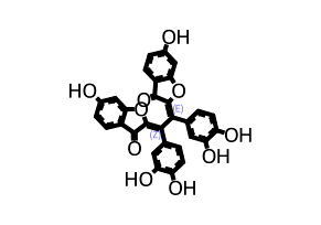 O=C1/C(=C(/C(=C2/Oc3cc(O)ccc3C2=O)c2ccc(O)c(O)c2)c2ccc(O)c(O)c2)Oc2cc(O)ccc21